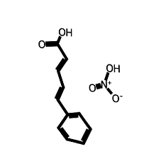 O=C(O)C=CC=Cc1ccccc1.O=[N+]([O-])O